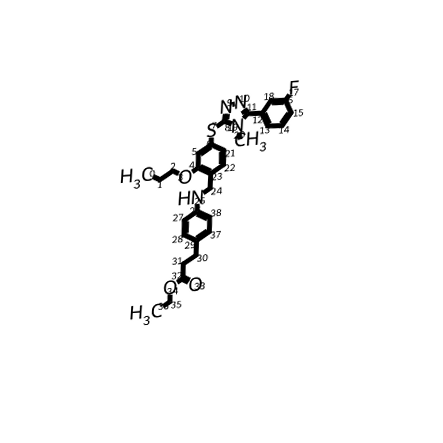 CCCOc1cc(Sc2nnc(-c3cccc(F)c3)n2C)ccc1CNc1ccc(CCC(=O)OCC)cc1